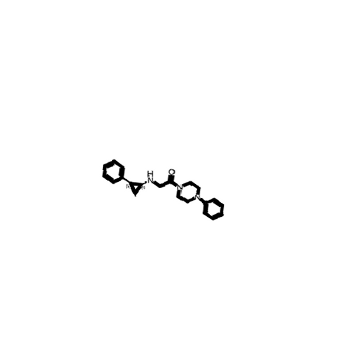 O=C(CN[C@@H]1C[C@H]1c1ccccc1)N1CCN(c2ccccc2)CC1